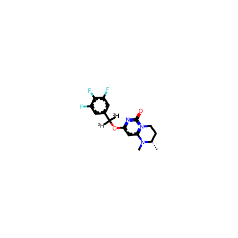 [2H]C([2H])(Oc1cc2n(c(=O)n1)CC[C@H](C)N2C)c1cc(F)c(F)c(F)c1